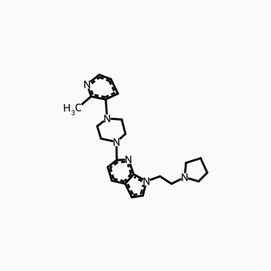 Cc1ncccc1N1CCN(c2ccc3ccn(CCN4CCCC4)c3n2)CC1